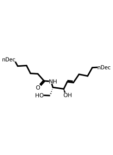 CCCCCCCCCCCCC/C=C/[C@@H](O)[C@H](CO)NC(=O)CCCCCCCCCCCCCC